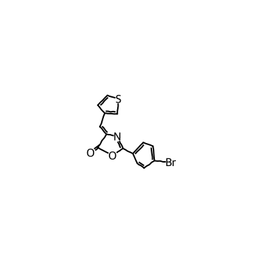 O=C1OC(c2ccc(Br)cc2)=NC1=Cc1ccsc1